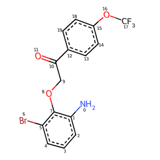 Nc1cccc(Br)c1OCC(=O)c1ccc(OC(F)(F)F)cc1